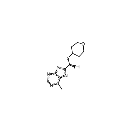 Cc1ncnc2sc(C(=P)SC3CCOCC3)nc12